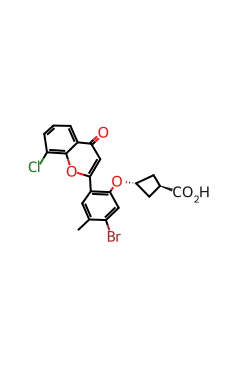 Cc1cc(-c2cc(=O)c3cccc(Cl)c3o2)c(O[C@H]2C[C@H](C(=O)O)C2)cc1Br